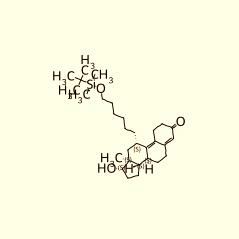 CC(C)(C)[Si](C)(C)OCCCCCC[C@H]1C[C@]2(C)[C@@H](O)CC[C@H]2[C@@H]2CCC3=CC(=O)CCC3=C12